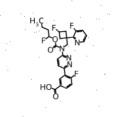 CCCC(F)OC(=O)N(CC1(c2ncccc2F)CC(F)C1)c1ccc(-c2cc(C(=O)O)ccc2F)nn1